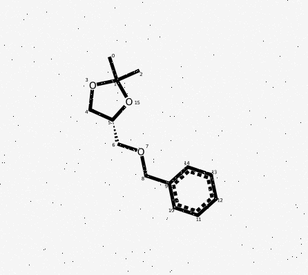 CC1(C)OC[C@@H](COCc2ccccc2)O1